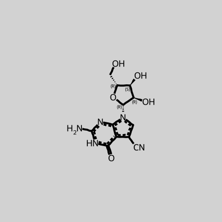 N#Cc1cn([C@@H]2O[C@H](CO)[C@@H](O)[C@H]2O)c2nc(N)[nH]c(=O)c12